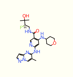 Cc1cn2nccc2nc1Nc1cc(NC2CCOCC2)c(C(=O)NC[C@@H](F)C(C)(C)O)cn1